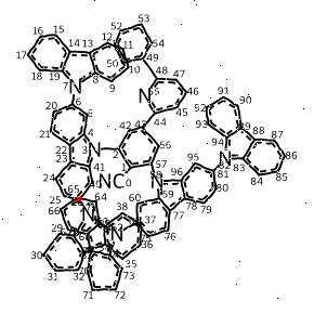 N#Cc1c(-n2c3cc(-n4c5ccccc5c5ccccc54)ccc3c3ccc(-n4c5ccccc5c5ccccc54)cc32)cc(-c2cccc(-c3ccccc3)n2)cc1-n1c2cc(-n3c4ccccc4c4ccccc43)ccc2c2ccc(-n3c4ccccc4c4ccccc43)cc21